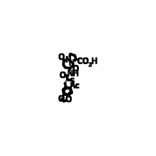 CC(=O)S[C@H](Cc1ccc2c(c1)OCO2)C(=O)NC1CCC(=O)N2CC[C@@H](C(=O)O)N2C1=O